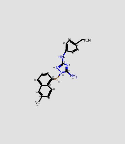 N#CCc1ccc(Nc2nc(N)n(Sc3cccc4cc(C#N)ccc34)n2)cc1